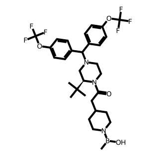 CB(O)N1CCC(CC(=O)N2CCN(C(c3ccc(OC(F)(F)F)cc3)c3ccc(OC(F)(F)F)cc3)C[C@@H]2C(C)(C)C)CC1